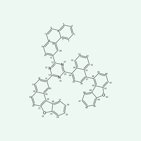 c1ccc2c(c1)ccc1ccc(-c3nc(-c4ccc5ccc6oc7ccccc7c6c5c4)nc(-c4ccc(-c5cccc6oc7ccccc7c56)c5ccccc45)n3)cc12